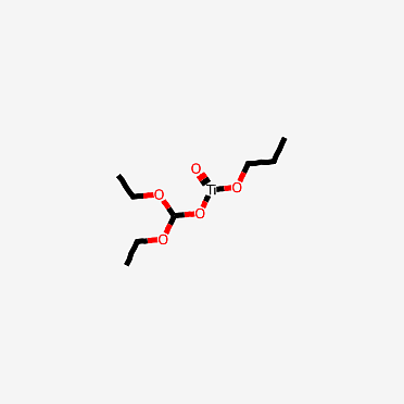 CCC[O][Ti](=[O])[O]C(OCC)OCC